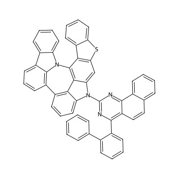 c1ccc(-c2ccccc2-c2nc(-n3c4cccc5c6cccc7c8ccccc8n(c67)c6c7c(cc3c6c54)sc3ccccc37)nc3c2ccc2ccccc23)cc1